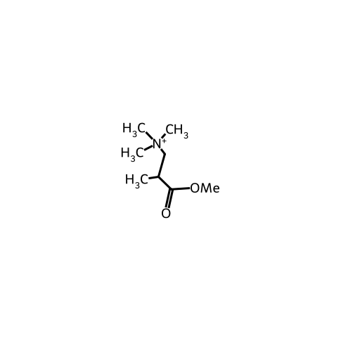 COC(=O)C(C)C[N+](C)(C)C